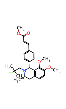 COC(=O)/C=C/c1ccc([C@@H]2c3c(ccc(OC)c3OC)C[C@@H](C)N2CC(C)(C)F)cc1